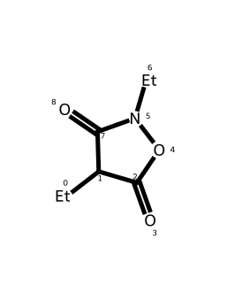 CCC1C(=O)ON(CC)C1=O